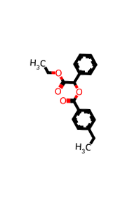 CCOC(=O)C(OC(=O)c1ccc(CC)cc1)c1ccccc1